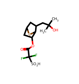 CC(C)(O)CC1CC2CC(OC(=O)C(F)(F)S(=O)(=O)O)C1S2